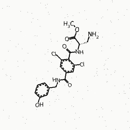 COC(=O)[C@H](CN)NC(=O)c1c(Cl)cc(C(=O)NCc2cccc(O)c2)cc1Cl